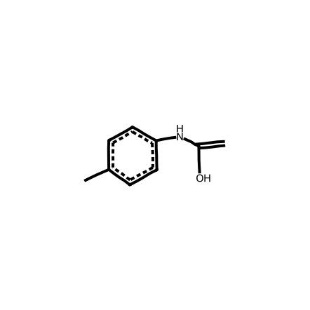 C=C(O)Nc1ccc(C)cc1